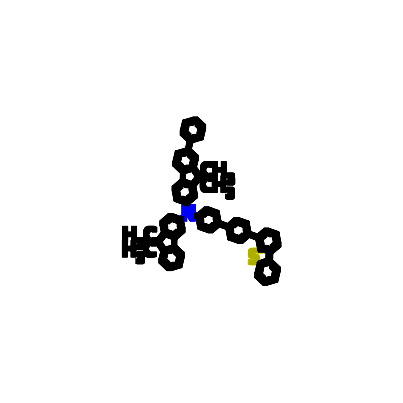 CC1(C)c2ccccc2-c2cc(N(c3ccc(-c4ccc(-c5cccc6c5sc5ccccc56)cc4)cc3)c3ccc4c(c3)C(C)(C)c3cc(-c5ccccc5)ccc3-4)ccc21